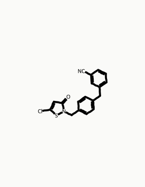 N#Cc1cccc(Cc2ccc(Cn3sc(Cl)cc3=O)cc2)c1